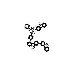 c1ccc(-c2nc(-c3ccc(-c4cccc5oc6cc(-c7ccc8sc9ccccc9c8c7)ccc6c45)cc3)nc(-c3ccc4c(c3)sc3ccccc34)n2)cc1